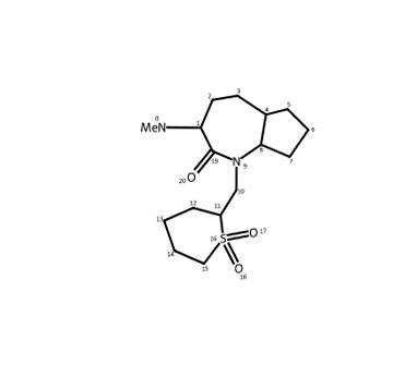 CNC1CCC2CCCC2N(CC2CCCCS2(=O)=O)C1=O